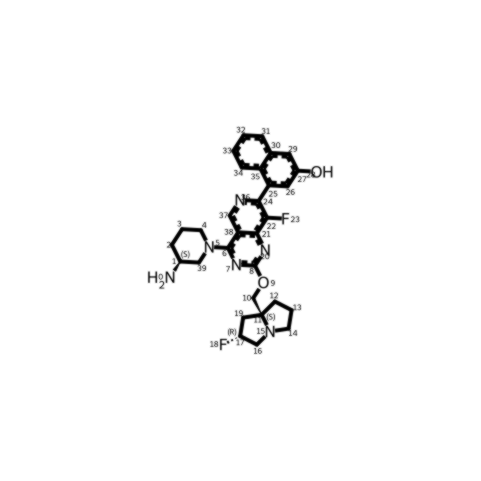 N[C@H]1CCCN(c2nc(OC[C@@]34CCCN3C[C@H](F)C4)nc3c(F)c(-c4cc(O)cc5ccccc45)ncc23)C1